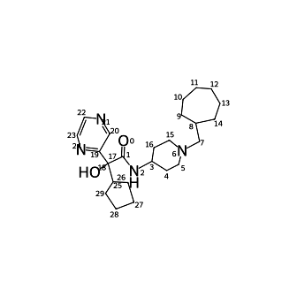 O=C(NC1CCN(CC2CCCCCC2)CC1)C(O)(c1cnccn1)C1CCCC1